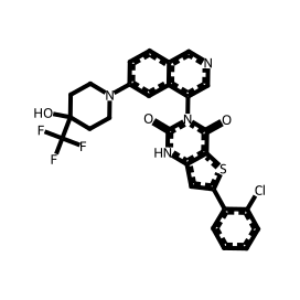 O=c1[nH]c2cc(-c3ccccc3Cl)sc2c(=O)n1-c1cncc2ccc(N3CCC(O)(C(F)(F)F)CC3)cc12